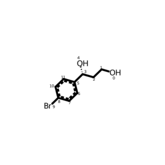 OCC[C@@H](O)c1ccc(Br)cc1